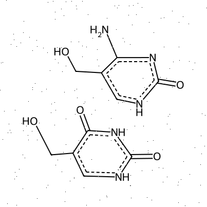 Nc1nc(=O)[nH]cc1CO.O=c1[nH]cc(CO)c(=O)[nH]1